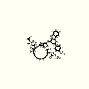 CC(C)(C)OC(=O)N[C@H]1CCCCC/C=C\[C@@H]2C[C@@]2(C(=O)NS(=O)(=O)C2CC2)NC(=O)[C@@H]2C[C@@H](Oc3cc(-c4ccc(C(F)(F)F)cc4)nc4c3oc3ccccc34)CN2C1=O